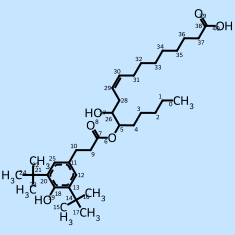 CCCCCC(OC(=O)CCc1cc(C(C)(C)C)c(O)c(C(C)(C)C)c1)C(O)C/C=C\CCCCCCCC(=O)O